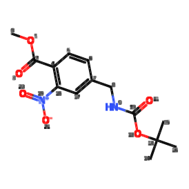 COC(=O)c1ccc(CNC(=O)OC(C)(C)C)cc1[N+](=O)[O-]